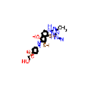 Cc1nc(NC#N)nc(Nc2ccc3c(O)c(/N=N/c4ccc(S(=O)(=O)CCO)cc4)c(S)cc3c2S)n1